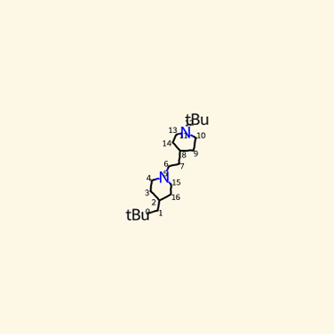 CC(C)(C)CC1CCN(CCC2CCN(C(C)(C)C)CC2)CC1